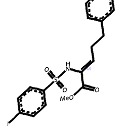 COC(=O)/C(=C/CCc1ccccc1)NS(=O)(=O)c1ccc(I)cc1